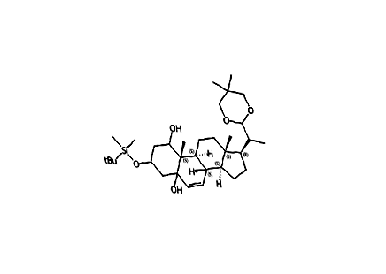 CC(C1OCC(C)(C)CO1)[C@H]1CC[C@H]2[C@@H]3C=CC4(O)CC(O[Si](C)(C)C(C)(C)C)CC(O)[C@]4(C)[C@H]3CC[C@]12C